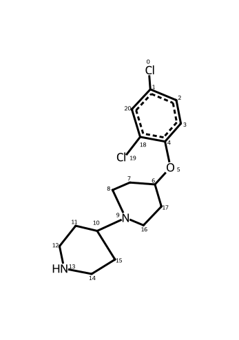 Clc1ccc(OC2CCN(C3CCNCC3)CC2)c(Cl)c1